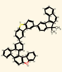 CC1(C)c2ccc(-c3ccc4sc5ccc(-c6ccc7c(c6)c6ccccc6c6ccc8oc9ccccc9c8c67)cc5c4c3)cc2-c2c1ccc1ccccc21